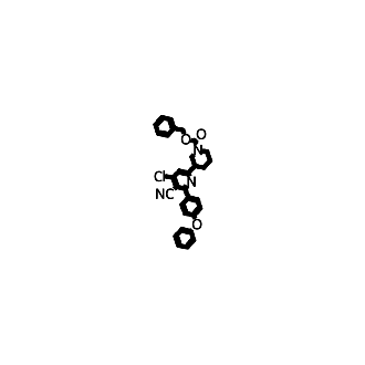 N#Cc1c(Cl)cc(C2CCCN(C(=O)OCc3ccccc3)C2)nc1-c1ccc(Oc2ccccc2)cc1